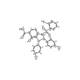 O=C(O)c1ccc2n(c1=O)C(c1ccc(Cl)cc1)C(c1ccc(Cl)cc1)N2S(=O)(=O)c1ccccc1F